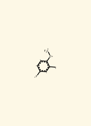 [CH2]c1cc(F)ccc1OC(F)(F)F